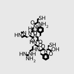 N=C(N)NCCC[C@H](NC(=O)[C@@H](Cc1ccccc1)NC(=O)[C@H](Cc1c[nH]cn1)NC(=O)CNC(=O)[C@@H](N)CS)C(=O)N[C@@H](Cc1ccccc1)C(=O)N[C@@H](CS)C(=O)O